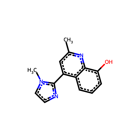 Cc1cc(-c2nccn2C)c2cccc(O)c2n1